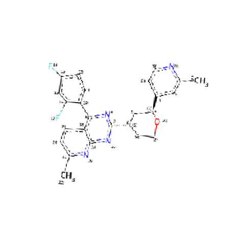 Cc1cc([C@@H]2C[C@@H](c3nc(-c4ccc(F)cc4F)c4ccc(C)nc4n3)CCO2)ccn1